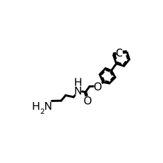 NCCCCNC(=O)COc1ccc(-c2ccccc2)cc1